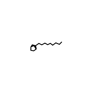 CCCCCCCCCC1=C2CCC(=C1)C2